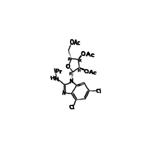 CC(=O)OC[C@H]1O[C@@H](n2c(NC(C)C)nc3c(Cl)cc(Cl)cc32)[C@H](OC(C)=O)[C@@H]1OC(C)=O